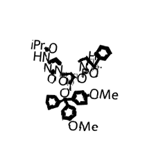 COc1ccc(C(OC[C@H]2O[C@@H](n3ccc(NC(=O)C(C)C)nc3=O)C[C@@H]2OP2O[C@](C)(c3ccccc3)[C@@H]3CCN32)(c2ccccc2)c2ccc(OC)cc2)cc1